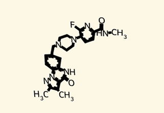 CNC(=O)c1ccc(N2CCN(Cc3ccc4c(c3)[nH]c(=O)c3c(C)c(C)nn34)CC2)c(F)n1